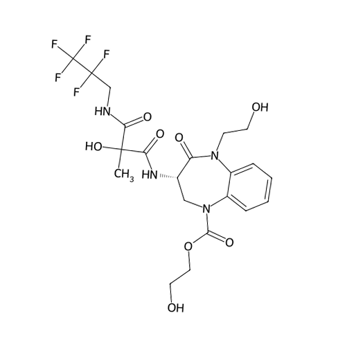 CC(O)(C(=O)NCC(F)(F)C(F)(F)F)C(=O)N[C@H]1CN(C(=O)OCCO)c2ccccc2N(CCO)C1=O